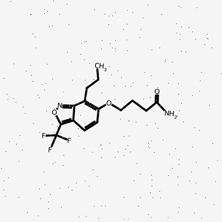 CCCc1c(OCCCC(N)=O)ccc2c(C(F)(F)F)onc12